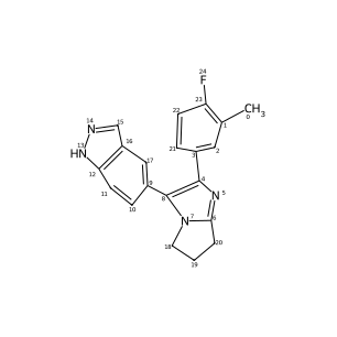 Cc1cc(-c2nc3n(c2-c2ccc4[nH]ncc4c2)CCC3)ccc1F